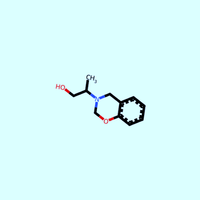 CC(CO)N1COc2ccccc2C1